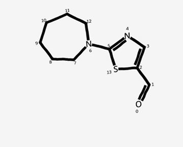 O=Cc1cnc(N2CCCCCC2)s1